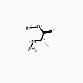 C=C(OC(C)C)[C@H](C)NP